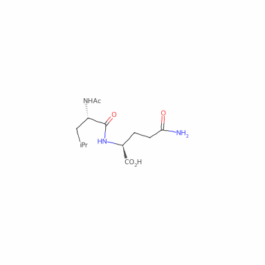 CC(=O)N[C@@H](CC(C)C)C(=O)N[C@@H](CCC(N)=O)C(=O)O